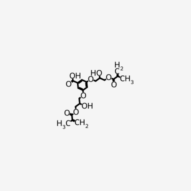 C=C(C)C(=O)OCC(O)COc1cc(OCC(O)COC(=O)C(=C)C)cc(C(=O)O)c1